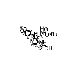 CC(C)(C)OC(=O)NCc1nn(-c2ccc(OC(F)(F)F)cc2)c2nccc(NC(=O)CO)c12